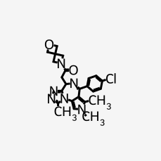 Cc1c2c(cn1C)-n1c(C)nnc1C(CC(=O)N1CC3(COC3)C1)N=C2c1ccc(Cl)cc1